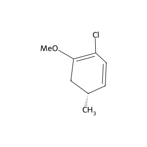 COC1=C(Cl)C=C[C@H](C)C1